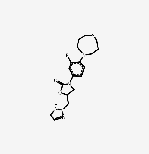 O=C1OC(CN2N=CCN2)CN1c1ccc(N2CCCSCCC2)c(F)c1